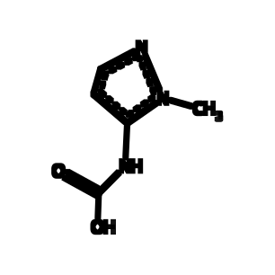 Cn1nccc1NC(=O)O